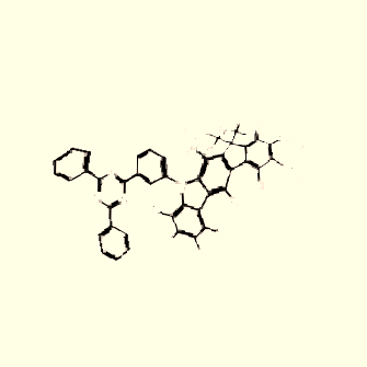 Bc1c(B)c(B)c2c(c1B)-c1c(c(B)c3c(c1B)c1c(B)c(B)c(B)c(B)c1n3-c1cccc(-c3nc(-c4ccccc4)nc(-c4ccccc4)n3)c1)C2(C(B)(B)B)C(B)(B)B